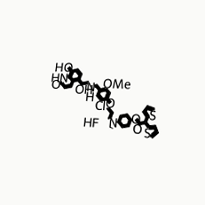 COc1cc(OCCCN(C)[C@H]2CC[C@H](OC(=O)C(c3cccs3)c3cccs3)CC2)c(Cl)cc1CNC[C@H](O)c1ccc(O)c2[nH]c(=O)ccc12.F